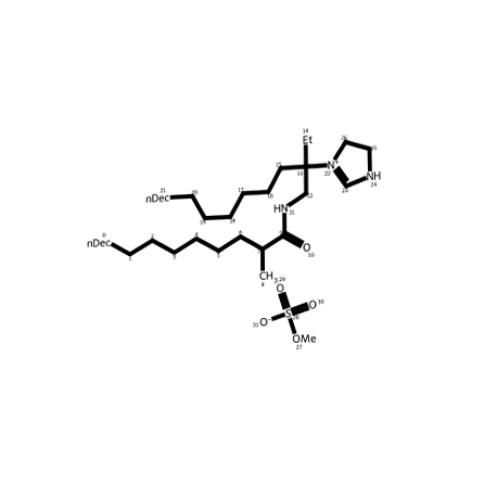 CCCCCCCCCCCCCCCCC(C)C(=O)NCC(CC)(CCCCCCCCCCCCCCCC)[N+]1=CNCC1.COS(=O)(=O)[O-]